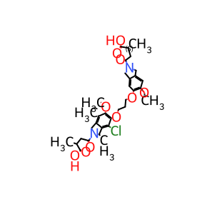 COc1cc2c(cc1OCCCOc1c(Cl)c3c(c(C)c1OC)CN(C(=O)CC(C)C(=O)O)C3C)CN(C(=O)C[C@H](C)C(=O)O)C2